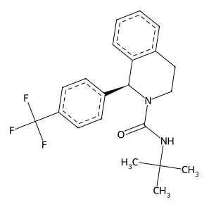 CC(C)(C)NC(=O)N1CCc2ccccc2[C@@H]1c1ccc(C(F)(F)F)cc1